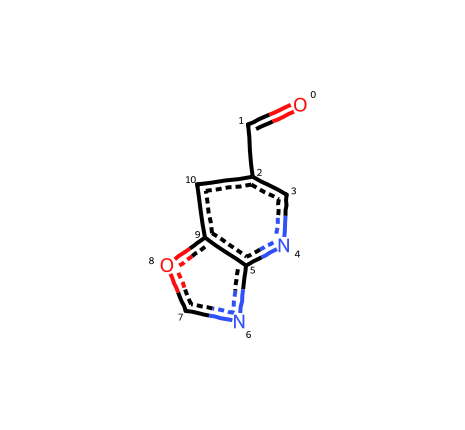 O=Cc1cnc2ncoc2c1